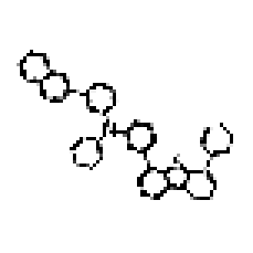 C1=CC(C2=CCCc3c2sc2c(-c4cccc(N(C5=CCCC=C5)c5cccc(-c6ccc7ccccc7c6)c5)c4)cccc32)=CCC1